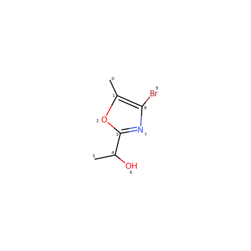 Cc1oc(C(C)O)nc1Br